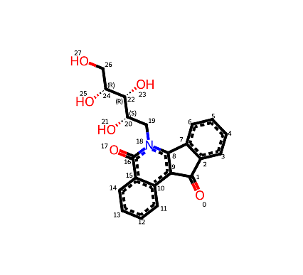 O=C1c2ccccc2-c2c1c1ccccc1c(=O)n2C[C@H](O)[C@@H](O)[C@H](O)CO